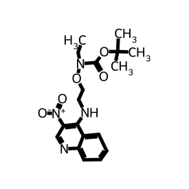 CCN(OCCNc1c([N+](=O)[O-])cnc2ccccc12)C(=O)OC(C)(C)C